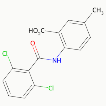 Cc1ccc(NC(=O)c2c(Cl)cccc2Cl)c(C(=O)O)c1